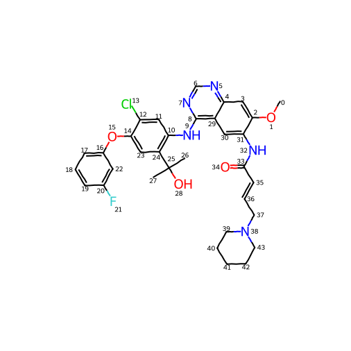 COc1cc2ncnc(Nc3cc(Cl)c(Oc4cccc(F)c4)cc3C(C)(C)O)c2cc1NC(=O)C=CCN1CCCCC1